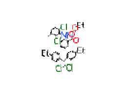 CCOCOC(=O)c1ccccc1Nc1c(Cl)ccc(C)c1Cl.CCc1ccc(C(c2ccc(CC)cc2)C(Cl)Cl)cc1